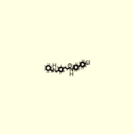 O=C(CCc1ccc(CNCC2CCCCC2)cc1)Nc1ccc(-c2ccc(Cl)cc2)cc1